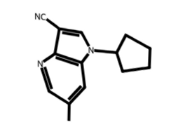 Cc1cnc2c(C#N)cn(C3CCCC3)c2c1